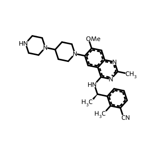 COc1cc2nc(C)nc(N[C@H](C)c3cccc(C#N)c3C)c2cc1N1CCC(N2CCNCC2)CC1